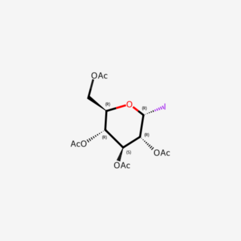 CC(=O)OC[C@H]1O[C@H](I)[C@H](OC(C)=O)[C@@H](OC(C)=O)[C@@H]1OC(C)=O